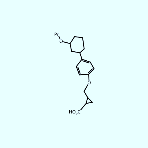 CC(C)OC1CCCC(c2ccc(OCC3CC3C(=O)O)cc2)C1